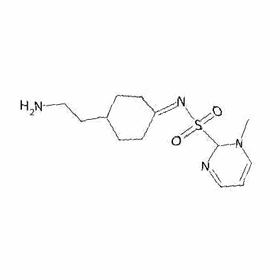 CN1C=CC=NC1S(=O)(=O)N=C1CCC(CCN)CC1